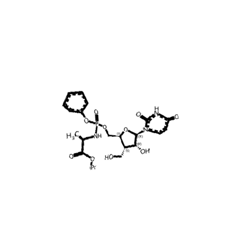 CC(C)OC(=O)C(C)NP(=O)(OC[C@H]1O[C@@H](n2ccc(=O)[nH]c2=O)[C@H](O)[C@@H]1CO)Oc1ccccc1